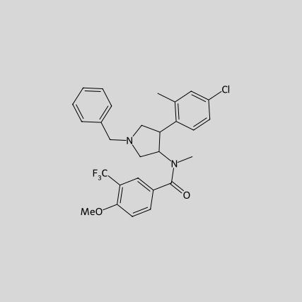 COc1ccc(C(=O)N(C)C2CN(Cc3ccccc3)CC2c2ccc(Cl)cc2C)cc1C(F)(F)F